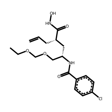 C=CC[C@@H](C[C@@H](COCOCC)NC(=O)c1ccc(Cl)cc1)C(=O)NO